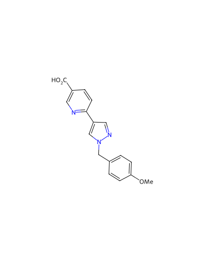 COc1ccc(Cn2cc(-c3ccc(C(=O)O)cn3)cn2)cc1